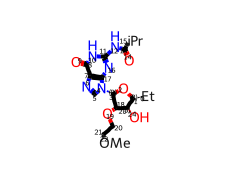 CC[C@H]1O[C@@H](n2cnc3c(=O)[nH]c(NC(=O)C(C)C)nc32)C(OCCOC)[C@H]1O